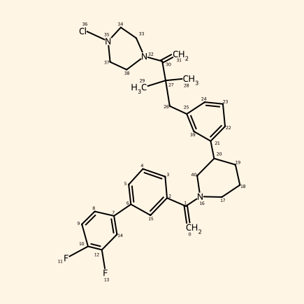 C=C(c1cccc(-c2ccc(F)c(F)c2)c1)N1CCCC(c2cccc(CC(C)(C)C(=C)N3CCN(Cl)CC3)c2)C1